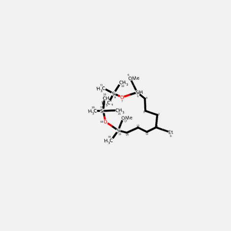 CCC(CCC[SiH](OC)O[Si](C)(C)C)CCC[Si](C)(OC)O[Si](C)(C)C